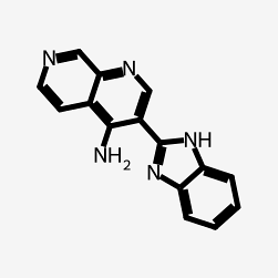 Nc1c(-c2nc3ccccc3[nH]2)cnc2cnccc12